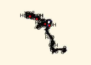 CCC(C)[C@H](NC(=O)CCCCCN1C(=O)C=CC1=O)C(=O)C[C@@H](C)C(=O)Nc1ccc(COC(=O)NCCCC(=O)CCC(C)(C)SSC/C=C2\C3=C(CC(=O)OC)C(=O)C[C@@]2(O)C#C/C=C\C#C[C@@H]3OC2OC(C)C(NOC3CC(O)C(SC(=O)c4c(C)c(I)c(OC5OC(C)C(O)C(OC)C5O)c(C)c4OC)C(C)O3)C(O)C2OC2CC(C)C(CC(C)=O)CO2)cc1